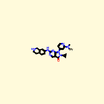 CC(C)N(C)c1cc(-n2c3nc(Nc4ccc5c(c4)CNCC5)ncc3c(=O)n2C2CC2)ccn1